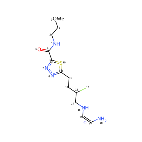 COCCNC(=O)c1nnc(CCC(F)CN/C=C\N)s1